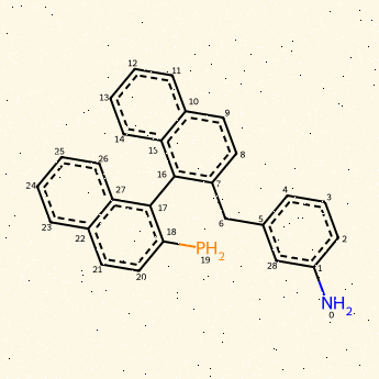 Nc1cccc(Cc2ccc3ccccc3c2-c2c(P)ccc3ccccc23)c1